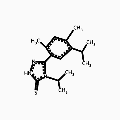 Cc1cc(C)c(C(C)C)cc1-c1n[nH]c(=S)n1C(C)C